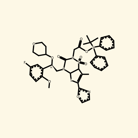 COc1ccc(F)cc1[C@H](CN1C(=O)N(CC(=O)O[Si](c2ccccc2)(c2ccccc2)C(C)(C)C)S(=O)(=O)C2C(C)=C(c3ncco3)SC21)OC1CCOCC1